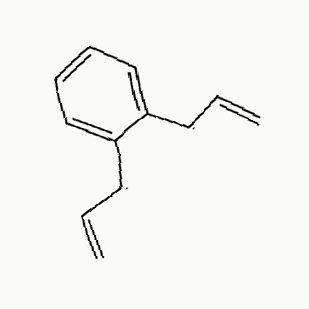 C=C[CH]c1ccccc1[CH]C=C